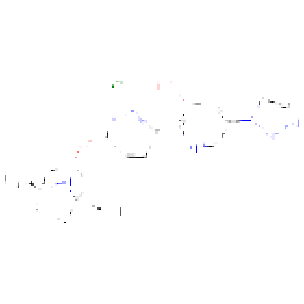 C[C@]12CC[C@](C)(C[C@@H](Oc3ccc(-c4ncc(-n5ccnn5)cc4O)nn3)C1)N2.Cl